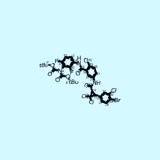 CC(C)(C)OC(=O)N(C(=O)OC(C)(C)C)c1c(F)ccc(NC(=O)c2cc(NC(=O)C3C(c4ccc(Br)c(Cl)c4)C3(Cl)Cl)ccc2Cl)c1F